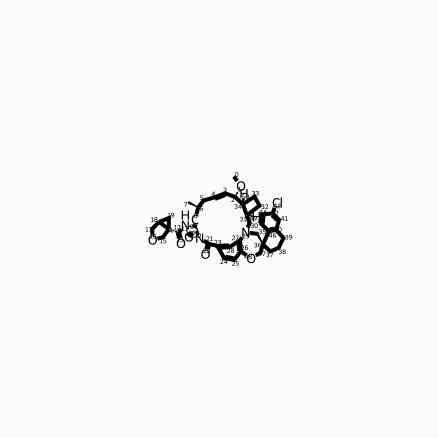 CO[C@H]1/C=C/C[C@H](C)C[S@@](=O)(NC(=O)[C@]23COCC2C3)=NC(=O)c2ccc3c(c2)N(C[C@@H]2CC[C@H]21)C[C@@]1(CCCc2cc(Cl)ccc21)CO3